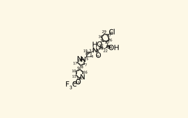 O=C(NC12CC(n3cc(-c4ccc(OC(F)(F)F)nc4)cn3)(C1)C2)[C@H]1C[C@@H](O)c2cc(Cl)ccc2O1